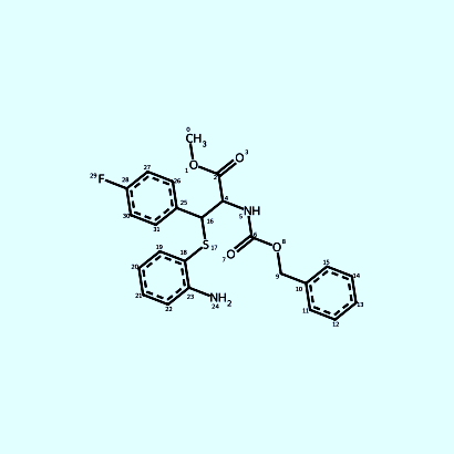 COC(=O)C(NC(=O)OCc1ccccc1)C(Sc1ccccc1N)c1ccc(F)cc1